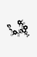 CN(C)c1nc(-c2cccc(NC(=O)c3c(F)cccc3F)c2)c(-c2ccnc(Nc3ccc(OCCN4CCCC4)c(Cl)c3)n2)s1